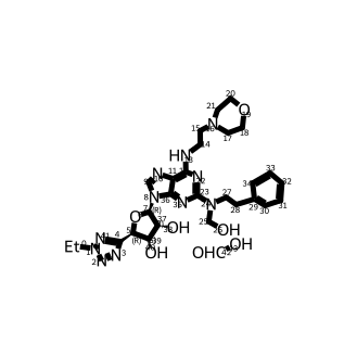 CCn1nnc([C@H]2O[C@@H](n3cnc4c(NCCN5CCOCC5)nc(N(CO)CCc5ccccc5)nc43)[C@H](O)[C@@H]2O)n1.O=CO